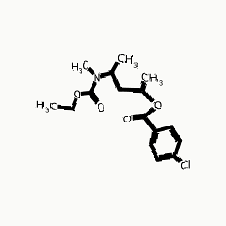 CCOC(=O)N(C)C(C)CC(C)OC(=O)c1ccc(Cl)cc1